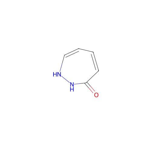 O=C1C=CC=CNN1